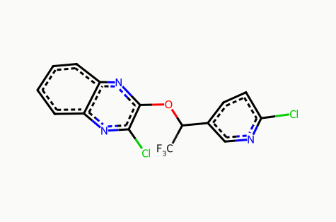 FC(F)(F)C(Oc1nc2ccccc2nc1Cl)c1ccc(Cl)nc1